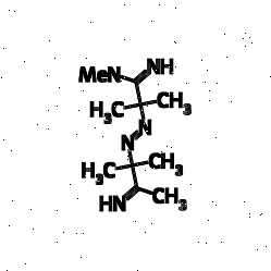 CNC(=N)C(C)(C)N=NC(C)(C)C(C)=N